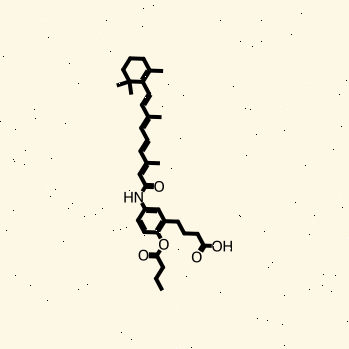 CCCC(=O)Oc1ccc(NC(=O)/C=C(C)/C=C/C=C(C)/C=C/C2=C(C)CCCC2(C)C)cc1CCCC(=O)O